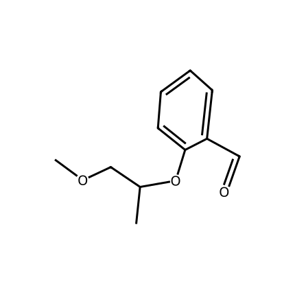 COCC(C)Oc1ccccc1C=O